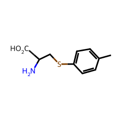 Cc1ccc(SCC(N)C(=O)O)cc1